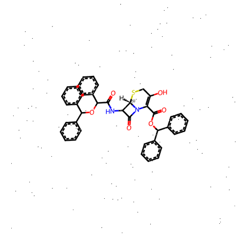 O=C(OC(c1ccccc1)c1ccccc1)C1=C(O)CS[C@H]2C(NC(=O)C(OC(c3ccccc3)c3ccccc3)c3ccccc3)C(=O)N12